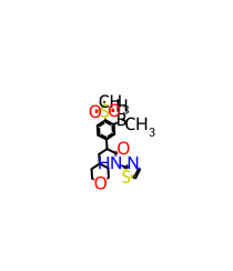 CBc1cc(C(CC2CCOCC2)C(=O)Nc2nccs2)ccc1S(C)(=O)=O